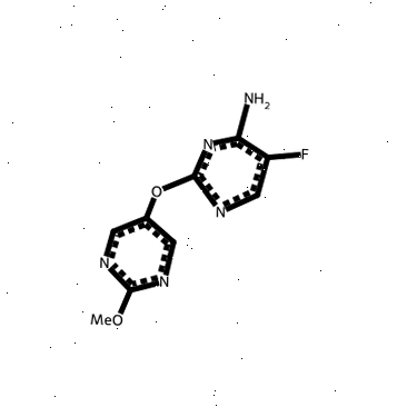 COc1ncc(Oc2ncc(F)c(N)n2)cn1